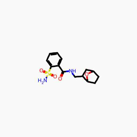 NS(=O)(=O)c1ccccc1C(=O)NCC1CC2CCC1O2